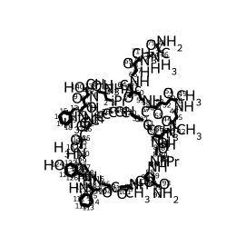 CC(=O)N[C@@H](CC(C)C)C(=O)N[C@H](C(=O)C(=O)[C@H](Cc1ccccc1)NN[C@]1(C)CCCCCC/C=C/CCC[C@@](C)(C(=O)CN[C@@H](C)C(=O)CCN[C@@H](C)C(=O)CCC(=O)[C@H](C)NCCC(=O)[C@H](C)NCCC(=O)[C@H](C)NCN[C@H](C)C(N)=O)NC(=O)[C@H](CC(C)C)NN[C@@H](CCC(N)=O)C(=O)CN[C@@H](C)C(=O)CC(=O)[C@H](Cc2c[nH]c3ccccc23)NN[C@@H](Cc2ccc(O)cc2)C(=O)CN[C@@H](C)C(=O)CC1=O)[C@@H](C)O